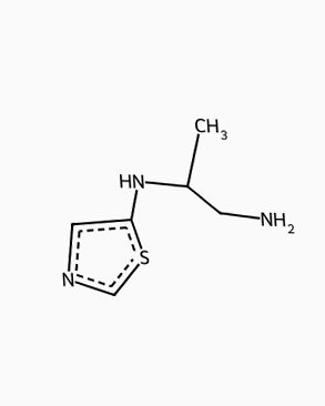 CC(CN)Nc1cncs1